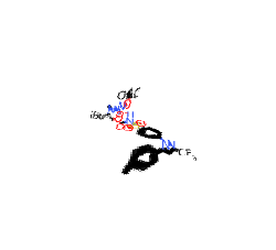 CC[C@@H](C)[C@@H](COC(=O)NS(=O)(=O)c1ccc(-n2nc(C(F)(F)F)cc2-c2ccc(C)cc2)cc1)N(C)[N+]([O-])=NOC(C)OC(C)=O